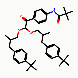 CC(COC(OCC(C)Cc1ccc(C(C)(C)C)cc1)C(=O)c1ccc(NC(=O)C(C)(C)C)cc1)Cc1ccc(C(C)(C)C)cc1